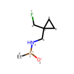 CC[S+]([O-])NCC1(CF)CC1